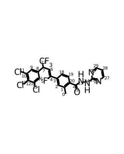 Cc1cc(/C(F)=C/C(c2cc(Cl)c(Cl)c(Cl)c2)C(F)(F)F)ccc1C(=O)NNc1ncccn1